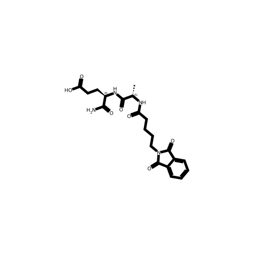 C[C@H](NC(=O)CCCCN1C(=O)c2ccccc2C1=O)C(=O)N[C@H](CCC(=O)O)C(N)=O